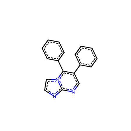 c1ccc(-c2cnc3nccn3c2-c2ccccc2)cc1